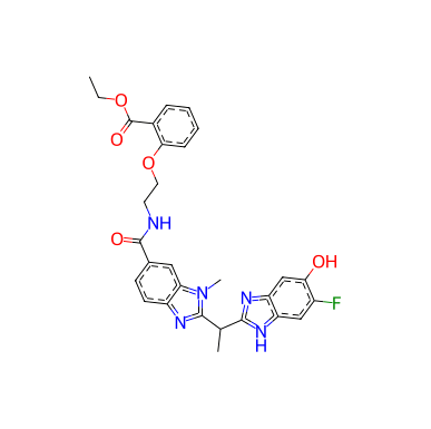 CCOC(=O)c1ccccc1OCCNC(=O)c1ccc2nc(C(C)c3nc4cc(O)c(F)cc4[nH]3)n(C)c2c1